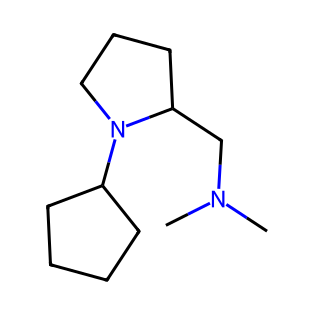 CN(C)CC1CCCN1C1CCCC1